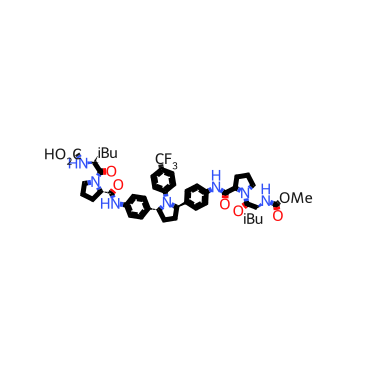 CC[C@H](C)[C@H](NC(=O)OC)C(=O)N1CCCC1C(=O)Nc1ccc([C@H]2CC[C@H](c3ccc(NC(=O)[C@@H]4CCCN4C(=O)[C@@H](NC(=O)O)[C@@H](C)CC)cc3)N2c2ccc(C(F)(F)F)cc2)cc1